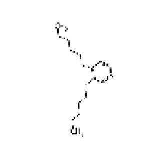 CCCCCCc1ccncc1CCCCCC